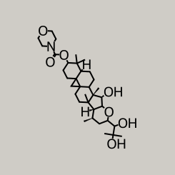 C[C@@H]1CC(C(O)C(C)(C)O)OC2[C@H]1C1(C)CCC34CC35CCC(OC(=O)N3CCOCC3)C(C)(C)[C@@H]5CCC4[C@]1(C)[C@H]2O